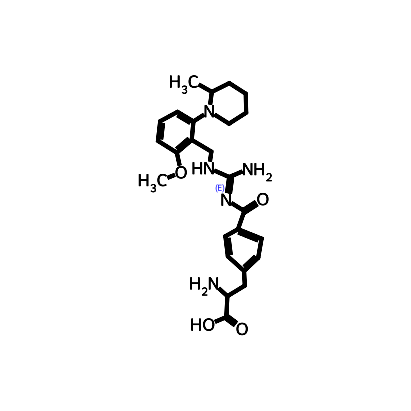 COc1cccc(N2CCCCC2C)c1CN/C(N)=N/C(=O)c1ccc(CC(N)C(=O)O)cc1